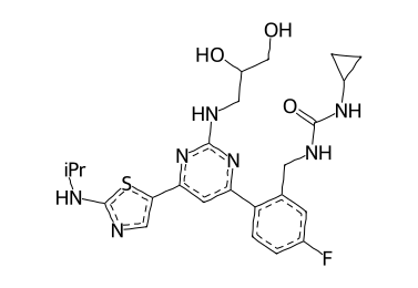 CC(C)Nc1ncc(-c2cc(-c3ccc(F)cc3CNC(=O)NC3CC3)nc(NCC(O)CO)n2)s1